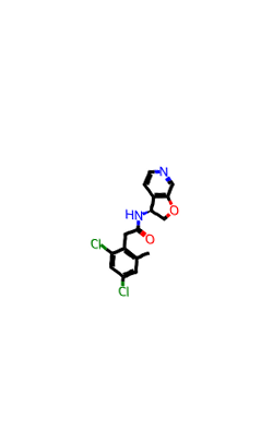 Cc1cc(Cl)cc(Cl)c1CC(=O)N[C@@H]1COc2cnccc21